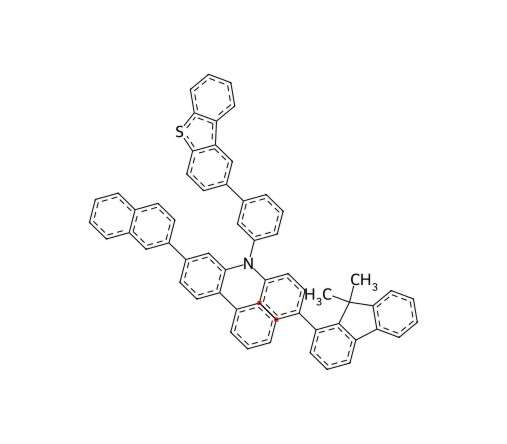 CC1(C)c2ccccc2-c2cccc(-c3ccc(N(c4cccc(-c5ccc6sc7ccccc7c6c5)c4)c4cc(-c5ccc6ccccc6c5)ccc4-c4ccccc4)cc3)c21